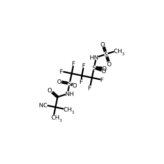 CC(C)(C#N)C(=O)NS(=O)(=O)C(F)(F)C(F)(F)C(F)(F)S(=O)(=O)NS(C)(=O)=O